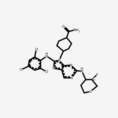 NC(=O)C1CCC(n2c(Nc3c(Cl)cc(Cl)cc3Cl)nc3cnc(NC4CCOC[C@@H]4F)nc32)CC1